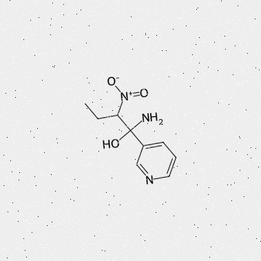 CCC([N+](=O)[O-])C(N)(O)c1cccnc1